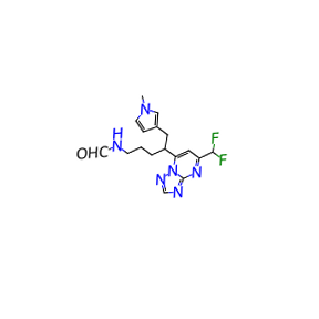 Cn1ccc(CC(CCCNC=O)c2cc(C(F)F)nc3ncnn23)c1